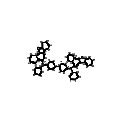 c1ccc(N(c2ccc(-c3ccc(N(c4ccccc4)c4cc5c6ccccc6oc5c5ccccc45)cc3)cc2)c2cc3c4ccccc4oc3c3ccccc23)cc1